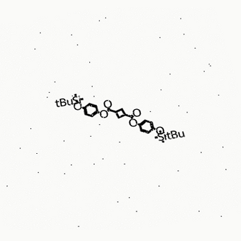 CC(C)(C)[Si](C)(C)Oc1ccc(OC(=O)C2CC(C(=O)Oc3ccc(O[Si](C)(C)C(C)(C)C)cc3)C2)cc1